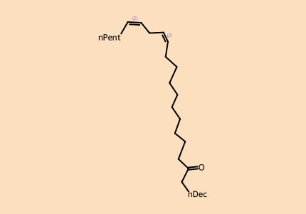 CCCCC/C=C\C/C=C\CCCCCCCCCC(=O)CCCCCCCCCCC